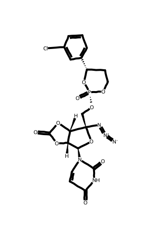 [N-]=[N+]=N[C@]1(CO[P@@]2(=O)OCC[C@@H](c3cccc(Cl)c3)O2)O[C@@H](n2ccc(=O)[nH]c2=O)[C@@H]2OC(=O)O[C@@H]21